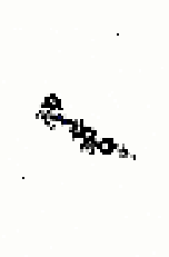 Cc1cccc(C)c1N1C(=O)CS/C1=N\N=C\c1ccc2c(ccc3c(-c4ccc(OC(F)(F)F)cc4)n(C)nc32)n1